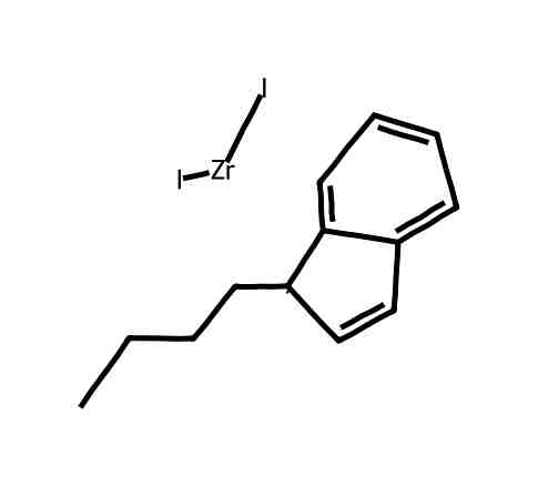 CCCC[C]1C=Cc2ccccc21.[I][Zr][I]